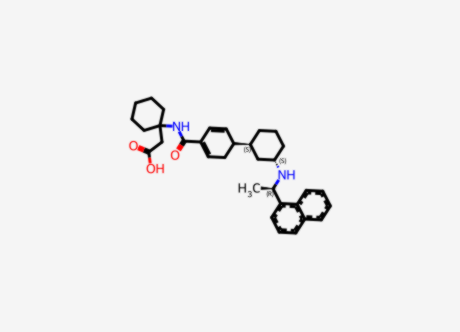 C[C@@H](N[C@H]1CCC[C@H](C2C=CC(C(=O)NC3(CC(=O)O)CCCCC3)=CC2)C1)c1cccc2ccccc12